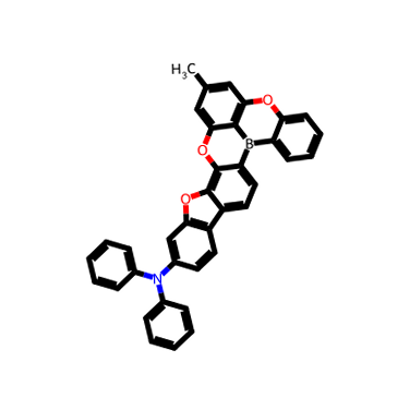 Cc1cc2c3c(c1)Oc1c(ccc4c1oc1cc(N(c5ccccc5)c5ccccc5)ccc14)B3c1ccccc1O2